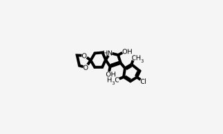 Cc1cc(Cl)cc(C)c1C1=C(O)C2(CCC3(CC2)OCCO3)NC1O